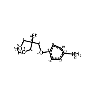 CCC(CO)(CO)COc1ccc(N)cc1